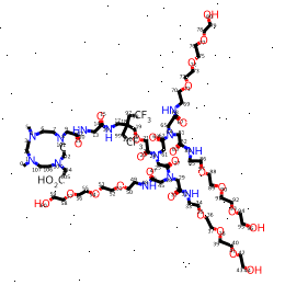 CN1CCN(C)CCN(CC(=O)NCC(=O)NCC(COCC(=O)N(CC(=O)N(CC(=O)NCCOCCOCCOCCO)CC(=O)NCCOCCOCCOCCO)CC(=O)N(CC(=O)NCCOCCOCCOCCO)CC(=O)NCCOCCOCCOCCO)(CC(F)(F)F)CC(F)(F)F)CCN(CC(=O)O)CC1